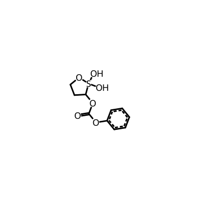 O=C(Oc1ccccc1)OC1CCOS1(O)O